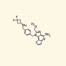 CCOCc1nc2c(N)nc3ccsc3c2n1Cc1ccc(CNC2CC(F)(F)C2)cc1